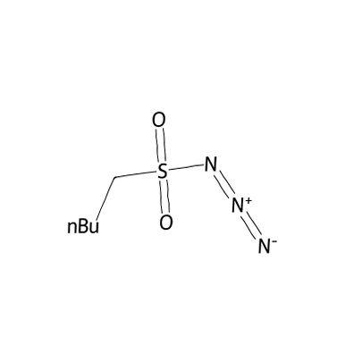 CCCCCS(=O)(=O)N=[N+]=[N-]